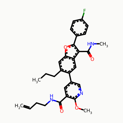 C=CCCNC(=O)c1cc(-c2cc3c(C(=O)NC)c(-c4ccc(F)cc4)oc3cc2CCC)cnc1OC